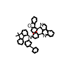 CC1(C)c2ccccc2-c2c(N(c3ccc(-c4nc5ccccc5c5ccnc(-c6cccc7oc8ccccc8c67)c45)cc3)c3cccc(-c4ccccc4)c3)cccc21